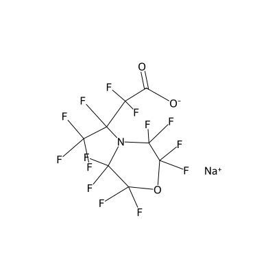 O=C([O-])C(F)(F)C(F)(N1C(F)(F)C(F)(F)OC(F)(F)C1(F)F)C(F)(F)F.[Na+]